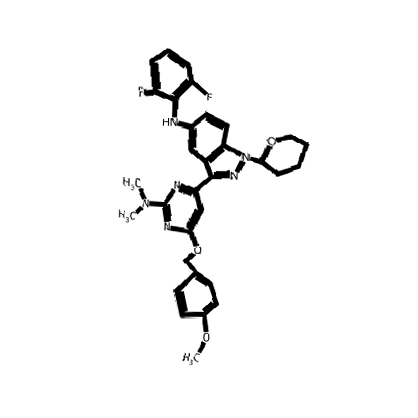 COc1ccc(COc2cc(-c3nn(C4CCCCO4)c4ccc(Nc5c(F)cccc5F)cc34)nc(N(C)C)n2)cc1